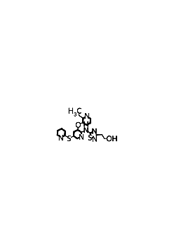 CCc1ncccc1Oc1cc(Sc2ccccn2)cnc1Nc1nc(CCO)ns1